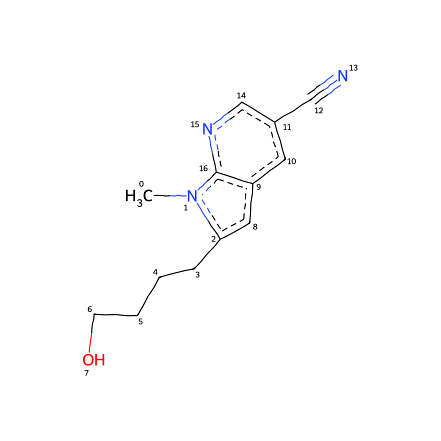 Cn1c(CCCCO)cc2cc(C#N)cnc21